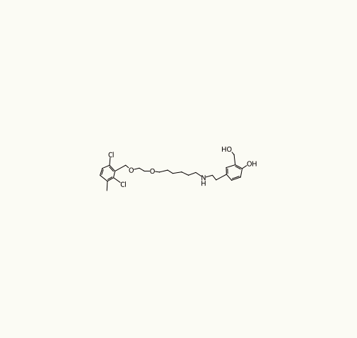 Cc1ccc(Cl)c(COCCOCCCCCCNCCc2ccc(O)c(CO)c2)c1Cl